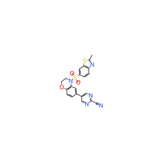 Cc1nc2ccc(S(=O)(=O)N3CCOc4ccc(-c5cnc(C#N)nc5)cc43)cc2s1